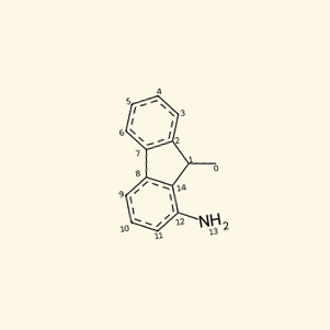 CC1c2ccccc2-c2cccc(N)c21